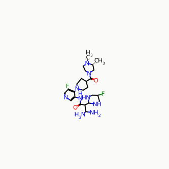 C[C@@H]1CN(C(=O)C2CCN(c3c(F)cncc3NC(=O)C(C(N)N)C3NCC(F)CN3)CC2)CCN1C